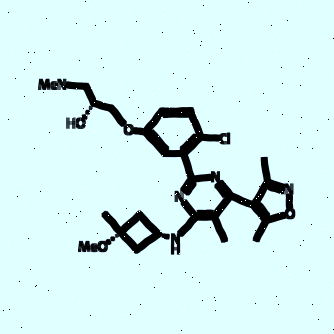 CNC[C@@H](O)COc1ccc(Cl)c(-c2nc(N[C@H]3C[C@@](C)(OC)C3)c(C)c(-c3c(C)noc3C)n2)c1